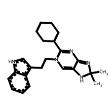 CC1(C)N=C2N=C(C3CCCCC3)N(CCc3c[nH]c4ccccc34)C=C2N1